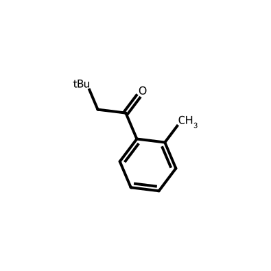 Cc1ccccc1C(=O)CC(C)(C)C